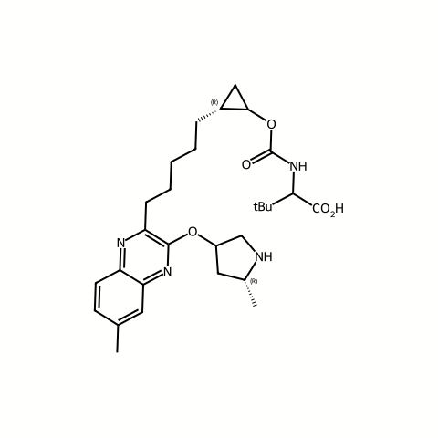 Cc1ccc2nc(CCCCC[C@@H]3CC3OC(=O)NC(C(=O)O)C(C)(C)C)c(OC3CN[C@H](C)C3)nc2c1